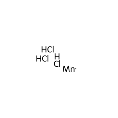 Cl.Cl.Cl.[Mn]